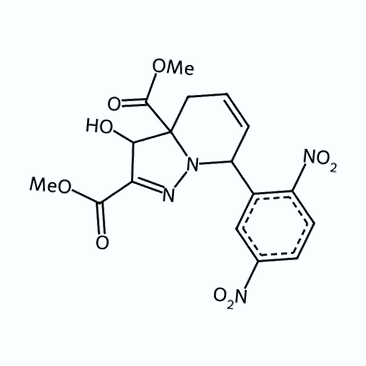 COC(=O)C1=NN2C(c3cc([N+](=O)[O-])ccc3[N+](=O)[O-])C=CCC2(C(=O)OC)C1O